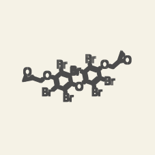 Brc1c(Br)c(Oc2c(Br)c(Br)c(OCC3CO3)c(Br)c2Br)c(Br)c(Br)c1OCC1CO1